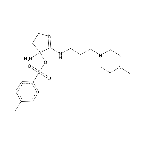 Cc1ccc(S(=O)(=O)O[N+]2(N)CCN=C2NCCCN2CCN(C)CC2)cc1